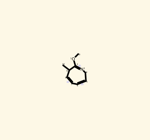 CO/C1=N/C/C=C\C=C/C1C